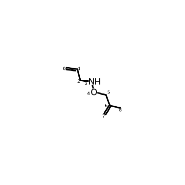 C=CCNOCC(=C)C